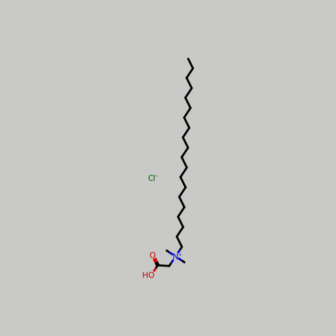 CCCCCCCCCCCCCCCCCCCC[N+](C)(C)CC(=O)O.[Cl-]